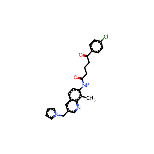 Cc1c(NC(=O)CCCC(=O)c2ccc(Cl)cc2)ccc2cc(Cn3cccc3)cnc12